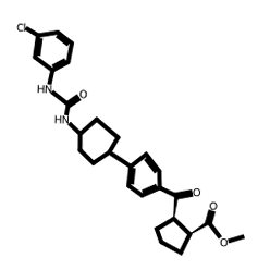 COC(=O)[C@H]1CCC[C@H]1C(=O)c1ccc(C2CCC(NC(=O)Nc3cccc(Cl)c3)CC2)cc1